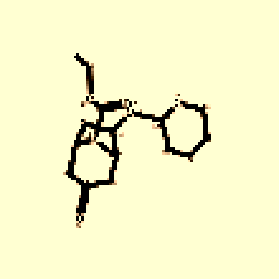 CCOC(=O)N1C2CC(=O)CC1C(OC1CCCCO1)C2